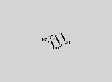 CCO.O=S(=O)(O)O.O=S(=O)(O)O